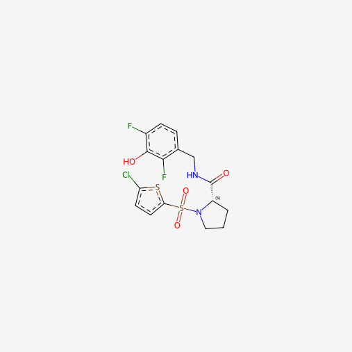 O=C(NCc1ccc(F)c(O)c1F)[C@@H]1CCCN1S(=O)(=O)c1ccc(Cl)s1